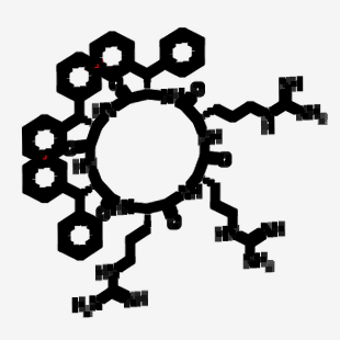 N=C(N)NCCC[C@@H]1NC(=O)[C@H](CCCNC(=N)N)NC(=O)[C@H](C(c2ccccc2)c2ccccc2)NC(=O)[C@H](C(c2ccccc2)c2ccccc2)NC(=O)[C@H](C(c2ccccc2)c2ccccc2)NC(=O)[C@H](CCCNC(=N)N)NC1=O